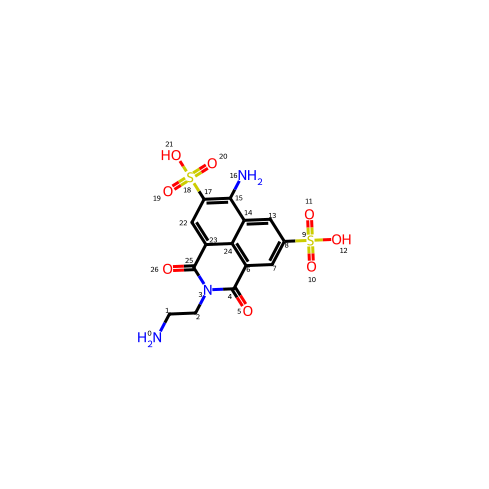 NCCN1C(=O)c2cc(S(=O)(=O)O)cc3c(N)c(S(=O)(=O)O)cc(c23)C1=O